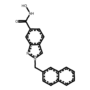 O=C(NO)c1ccc2cn(Cc3ccc4ccccc4c3)nc2c1